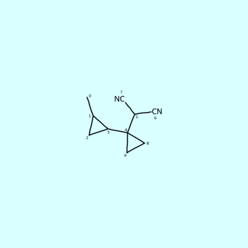 CC1CC1C1(C(C#N)C#N)CC1